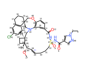 CCn1cc(C(=O)N[S@@]2(=O)=NC(=O)c3ccc4c(c3)N(C[C@@H]3CC[C@H]3[C@@H](OC)/C=C/CCC2)C[C@@]2(CCCc3cc(Cl)ccc32)CO4)cn1